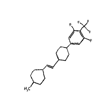 CC1CCC(C=CC2CCC(c3cc(F)c(C(F)(F)F)c(F)c3)CC2)CC1